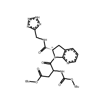 CC(C)(C)OC(=O)CC(NC(=O)OC(C)(C)C)C(=O)N1c2ncccc2C[C@H]1C(=O)NCc1nn[nH]n1